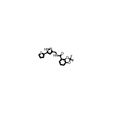 O=C(NCc1cc(-c2cccs2)[nH]n1)c1cccc2c1OC(F)(F)O2